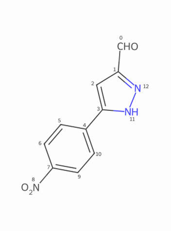 O=Cc1cc(-c2ccc([N+](=O)[O-])cc2)[nH]n1